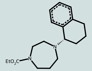 CCOC(=O)N1CCCN([C@H]2CCCc3ccccc32)CC1